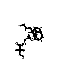 CCCCC1(OC(=O)COC(=O)C(C)(C)CC)C2CC3CC(C2)CC1C3